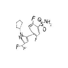 NS(=O)(=O)c1cc(F)c(-c2cc(C(F)F)nn2C2CCCC2)cc1F